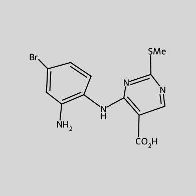 CSc1ncc(C(=O)O)c(Nc2ccc(Br)cc2N)n1